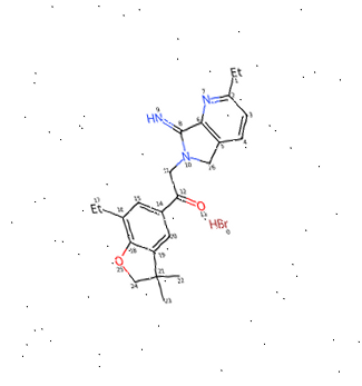 Br.CCc1ccc2c(n1)C(=N)N(CC(=O)c1cc(CC)c3c(c1)C(C)(C)CO3)C2